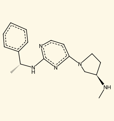 CN[C@@H]1CCN(c2ccnc(N[C@H](C)c3ccccc3)n2)C1